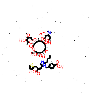 CCCCc1ncc(/C=C(\Cc2cccs2)C(=O)O)n1Cc1ccc(C(=O)O)cc1.CC[C@H]1OC(=O)[C@H](C)[C@@H](O[C@H]2C[C@@](C)(OC)[C@@H](O)[C@H](C)O2)[C@H](C)[C@@H](O[C@@H]2O[C@H](C)C[C@H](N(C)C)[C@H]2O)[C@](C)(O)C[C@@H](C)C(=O)[C@H](C)[C@@H](O)[C@]1(C)O